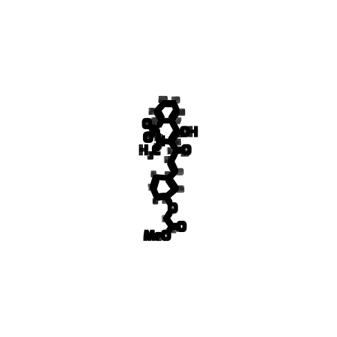 COC(=O)COc1cccc(/C=C/C(=O)C2=C(O)c3ccccc3S(=O)(=O)N2C)c1